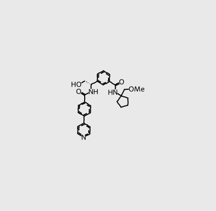 COCC1(NC(=O)c2cccc([C@@H](CO)NC(=O)c3ccc(-c4ccncc4)cc3)c2)CCCC1